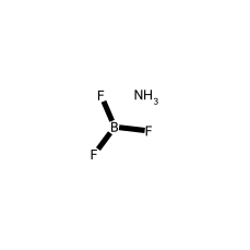 FB(F)F.N